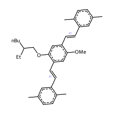 CCCCC(CC)COc1cc(/C=C/c2cc(C)ccc2C)c(OC)cc1/C=C/c1cc(C)ccc1C